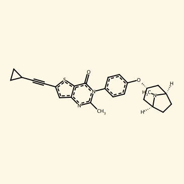 Cc1nc2cc(C#CC3CC3)sc2c(=O)n1-c1ccc(O[C@@H]2C[C@H]3CC[C@@H](C2)N3C)cc1